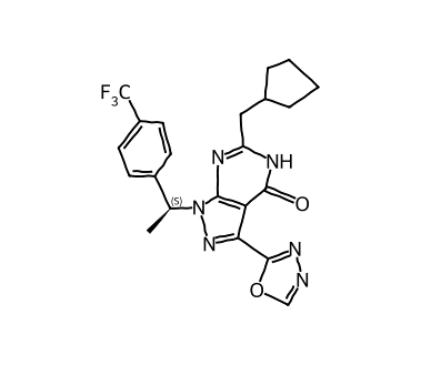 C[C@@H](c1ccc(C(F)(F)F)cc1)n1nc(-c2nnco2)c2c(=O)[nH]c(CC3CCCC3)nc21